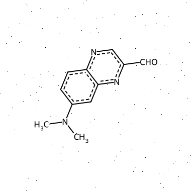 CN(C)c1ccc2ncc(C=O)nc2c1